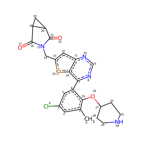 Cc1cc(Cl)cc(-c2ncnc3cc(CN4C(=O)C5CC5C4=O)sc23)c1OC1CCNCC1